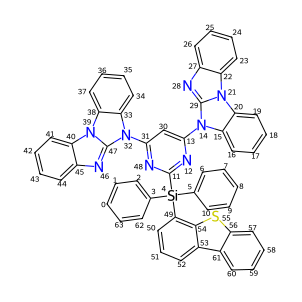 c1ccc([Si](c2ccccc2)(c2nc(-n3c4ccccc4n4c5ccccc5nc34)cc(-n3c4ccccc4n4c5ccccc5nc34)n2)c2cccc3c2sc2ccccc23)cc1